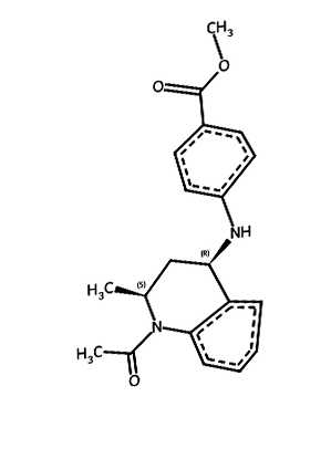 COC(=O)c1ccc(N[C@@H]2C[C@H](C)N(C(C)=O)c3ccccc32)cc1